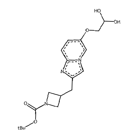 CC(C)(C)OC(=O)N1CC(Cc2cn3cc(OCC(O)O)ccc3n2)C1